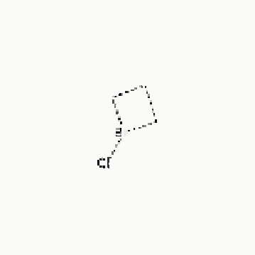 [Cl][Bi]1[CH2]C[CH2]1